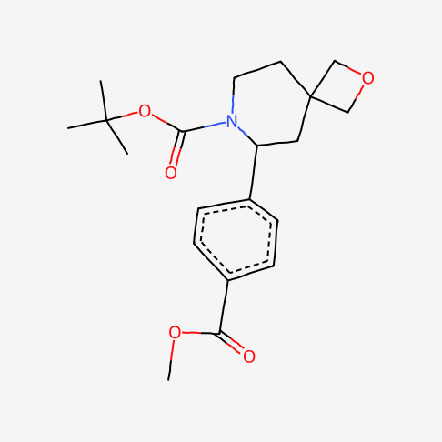 COC(=O)c1ccc(C2CC3(CCN2C(=O)OC(C)(C)C)COC3)cc1